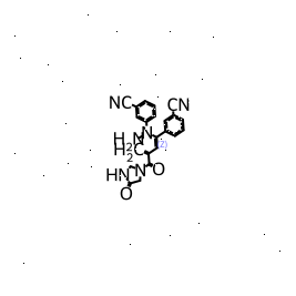 C=C(/C=C(/c1cccc(C#N)c1)N(N)c1cccc(C#N)c1)C(=O)N1CNC(=O)C1